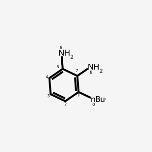 CCC[CH]c1cccc(N)c1N